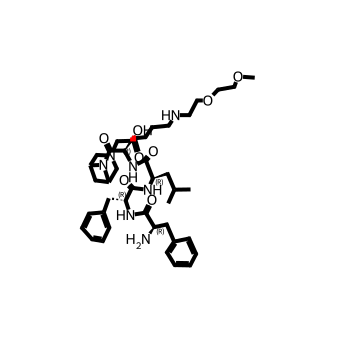 COCCOCCNCCCC[C@@H](NC(=O)[C@@H](CC(C)C)NC(=O)[C@@H](Cc1ccccc1)NC(=O)[C@H](N)Cc1ccccc1)C(=O)N1C2CC1CN(CC(=O)O)C2